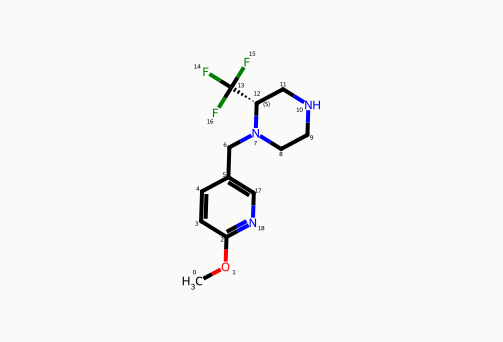 COc1ccc(CN2CCNC[C@H]2C(F)(F)F)cn1